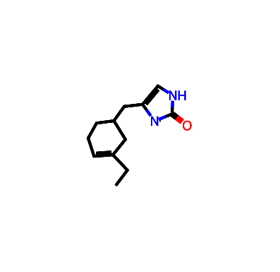 CCC1=CCCC(CC2=CNC(=O)[N]2)C1